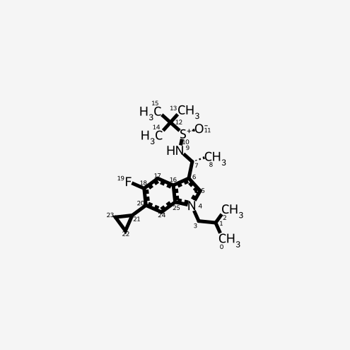 CC(C)Cn1cc([C@@H](C)N[S@@+]([O-])C(C)(C)C)c2cc(F)c(C3CC3)cc21